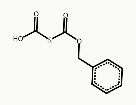 O=C(O)SC(=O)OCc1ccccc1